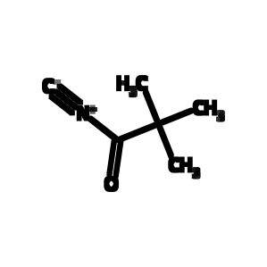 [C-]#[N+]C(=O)C(C)(C)C